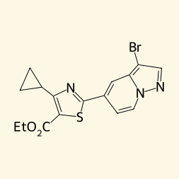 CCOC(=O)c1sc(-c2ccn3ncc(Br)c3c2)nc1C1CC1